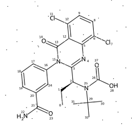 CC[C@@H](c1nc2c(Cl)ccc(Cl)c2c(=O)n1-c1cccc(C(N)=O)c1)N(C(=O)O)C(C)(C)C